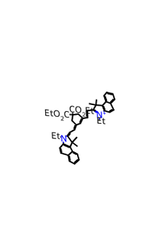 CCOC(=O)C1(C(=O)OCC)CC(/C=C/C2=[N+](CC)c3ccc4ccccc4c3C2(C)C)=CC(=C/C=C2/N(CC)c3ccc4ccccc4c3C2(C)C)/C1